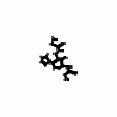 CCSC(=N)Nc1ccc(-n2cccn2)c(CNC(=O)OC(C)(C)C)c1C